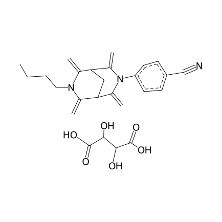 C=C1C2CC(C(=C)N1CCCC)C(=C)N(c1ccc(C#N)cc1)C2=C.O=C(O)C(O)C(O)C(=O)O